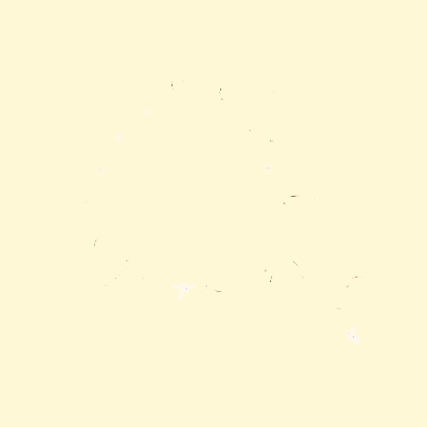 CO[C@H]1C[C@@H]2CC[C@@H](C)[C@@](O)(O2)C(=O)C(=O)N2CCCC[C@H]2C(=O)OC([C@H](C)C[C@@H]2CC[C@@H](ON=O)[C@H](OC)C2)CC(=O)[C@H](C)/C=C(\C)[C@@H](O)[C@@H](OC)C(=O)[C@H](C)C[C@H](C)/C=C/C=C/C=C/1C